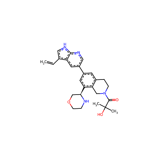 C=Cc1c[nH]c2ncc(-c3cc4c(c([C@@H]5COCCN5)c3)CN(C(=O)C(C)(C)O)CC4)cc12